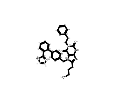 CCCCc1nc2[nH]c(=O)n(CCc3ccccc3)c(=O)c2n1Cc1ccc(-c2ccccc2-c2nnn[nH]2)cc1